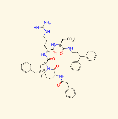 N=C(N)NCCC[C@H](NC(=O)[C@@H]1C[C@@H](Cc2ccccc2)[C@@H]2CCC(NC(=O)Cc3ccccc3)C(=O)N12)C(=O)N[C@@H](CC(=O)O)C(=O)NCCC(c1ccccc1)c1ccccc1